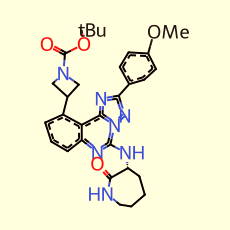 COc1ccc(-c2nc3c4c(C5CN(C(=O)OC(C)(C)C)C5)cccc4nc(N[C@@H]4CCCCNC4=O)n3n2)cc1